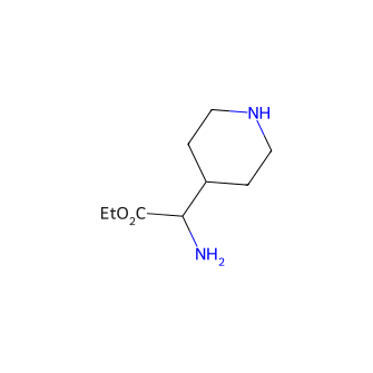 CCOC(=O)C(N)C1CCNCC1